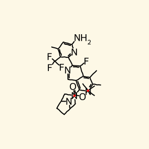 Cc1cc(N)nc(-c2ncc3c(N4CC5CCC(C4)N5C(=O)OC(C)(C)C)nc(C)c(C)c3c2F)c1C(F)(F)F